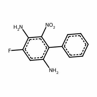 Nc1cc(F)c(N)c([N+](=O)[O-])c1-c1ccccc1